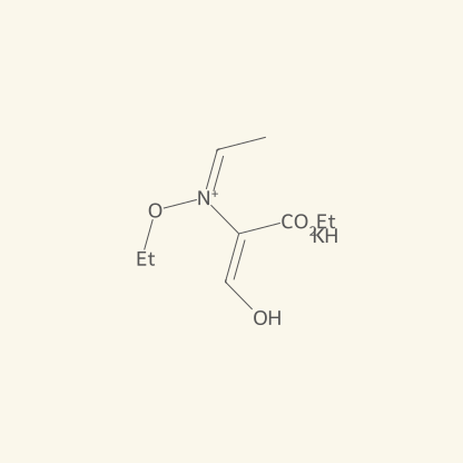 CC=[N+](OCC)C(=CO)C(=O)OCC.[KH]